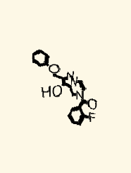 O=C(c1ccccc1F)N1CCn2nc(COc3ccccc3)c(O)c2C1